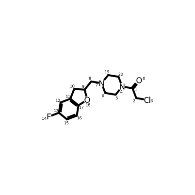 O=C(CCl)N1CCN(CC2Cc3cc(F)ccc3O2)CC1